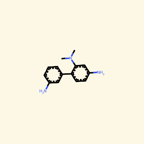 CN(C)c1cc(N)ccc1-c1cccc(N)c1